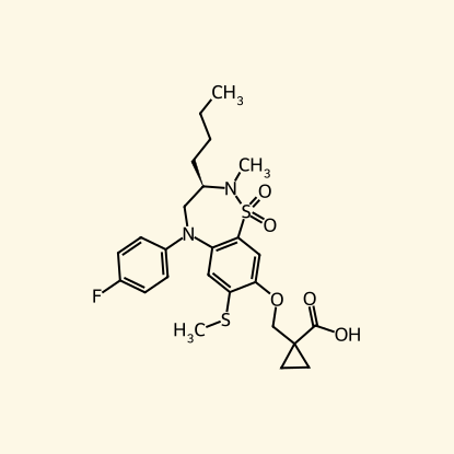 CCCC[C@@H]1CN(c2ccc(F)cc2)c2cc(SC)c(OCC3(C(=O)O)CC3)cc2S(=O)(=O)N1C